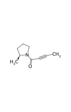 CC#CC(=O)N1CCC[C@@H]1C